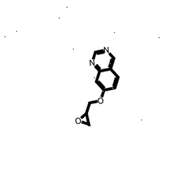 c1ncc2ccc(OCC3CO3)cc2n1